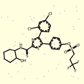 O=S(=O)(CCC(F)(F)F)Oc1ccc(-c2sc(C(=S)NC3CCCCC3O)nc2-c2ccc(Cl)cc2Cl)cc1